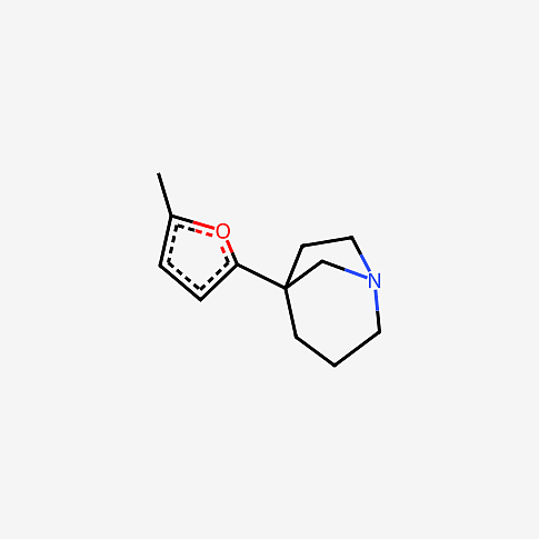 Cc1ccc(C23CCCN(CC2)C3)o1